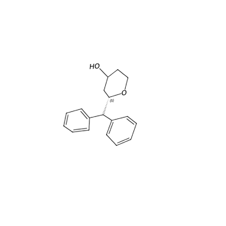 OC1CCO[C@H](C(c2ccccc2)c2ccccc2)C1